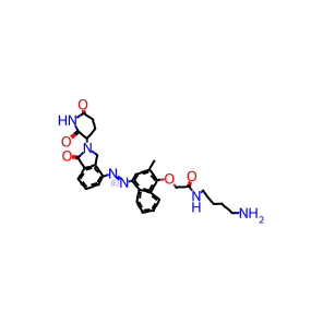 Cc1cc(/N=N/c2cccc3c2CN(C2CCC(=O)NC2=O)C3=O)c2ccccc2c1OCC(=O)NCCCCN